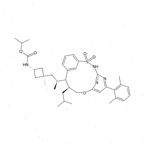 Cc1cccc(C)c1-c1cc2nc(n1)NS(=O)(=O)c1cccc(c1)C([C@@H](C)C[C@]1(C)C[C@@H](NC(=O)OC(C)C)C1)[C@H](CC(C)C)CO2